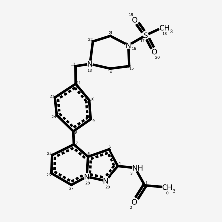 CC(=O)Nc1cc2c(-c3ccc(CN4CCN(S(C)(=O)=O)CC4)cc3)cccn2n1